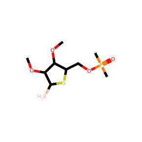 BC1SC(COP(C)(C)=O)C(OC)C1OC